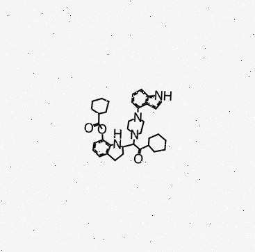 O=C(Oc1cccc2c1NC(C(C(=O)C1CCCCC1)N1CCN(c3cccc4[nH]ccc34)CC1)CC2)C1CCCCC1